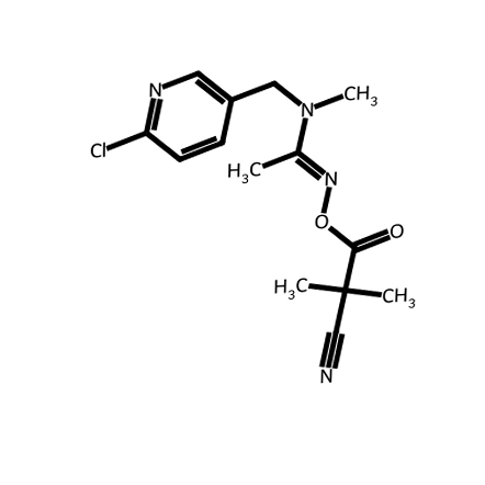 C/C(=N\OC(=O)C(C)(C)C#N)N(C)Cc1ccc(Cl)nc1